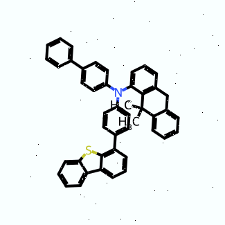 CC1(C)c2ccccc2Cc2cccc(N(c3ccc(-c4ccccc4)cc3)c3ccc(-c4cccc5c4sc4ccccc45)cc3)c21